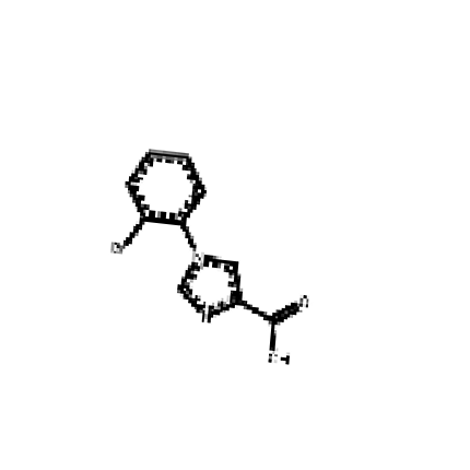 O=C(O)c1cn(-c2ccccc2Br)cn1